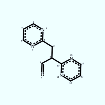 O=CC(Cc1ncccn1)c1ncccn1